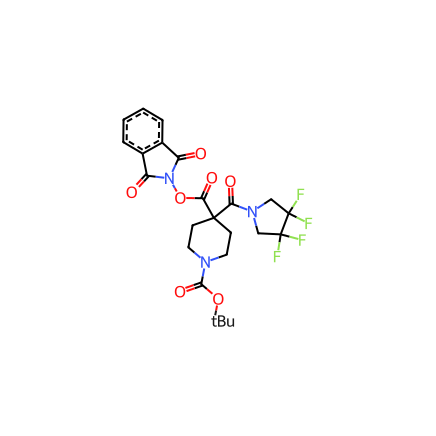 CC(C)(C)OC(=O)N1CCC(C(=O)ON2C(=O)c3ccccc3C2=O)(C(=O)N2CC(F)(F)C(F)(F)C2)CC1